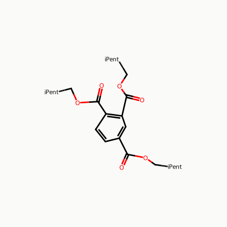 CCCC(C)COC(=O)c1ccc(C(=O)OCC(C)CCC)c(C(=O)OCC(C)CCC)c1